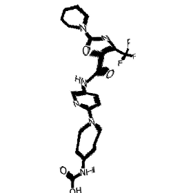 O=C(O)NC1CCN(c2ccc(NC(=O)c3oc(N4CCCCC4)nc3C(F)(F)F)cn2)CC1